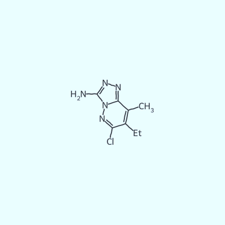 CCc1c(Cl)nn2c(N)nnc2c1C